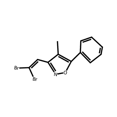 Cc1c(C=C(Br)Br)noc1-c1ccccc1